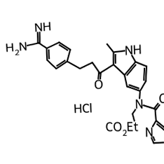 CCOC(=O)CN(C(=O)c1cscn1)c1ccc2[nH]c(C)c(C(=O)CCc3ccc(C(=N)N)cc3)c2c1.Cl